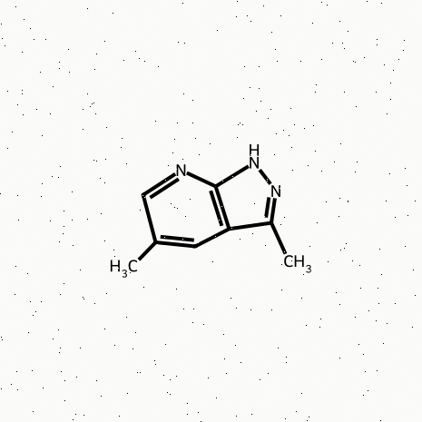 Cc1cnc2[nH]nc(C)c2c1